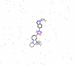 CC1CCCCN1C1=CC=C=C(c2nc(-c3ccc4c(ccn4C)c3)no2)C=C1[N+](=O)[O-]